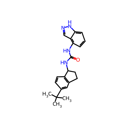 CC(C)(C)c1ccc2c(c1)CCC2NC(=O)Nc1cccc2[nH]ncc12